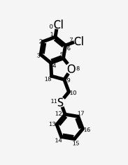 Clc1ccc2c(c1Cl)OC(CSc1ccccc1)C2